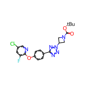 CC(C)(C)OC(=O)N1CC(n2nnc(-c3ccc(Oc4ncc(Cl)cc4F)cc3)n2)C1